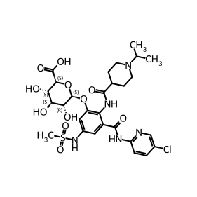 CC(C)N1CCC(C(=O)Nc2c(O[C@@H]3O[C@H](C(=O)O)[C@@H](O)[C@H](O)[C@H]3O)cc(NS(C)(=O)=O)cc2C(=O)Nc2ccc(Cl)cn2)CC1